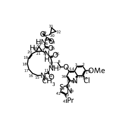 COc1ccc2c(OCC[C@@H]3NC(=O)N(C)CCCCC=C[C@@H]4C[C@@]4(C(=O)NS(=O)(=O)C4CC4)NC3=O)cc(-c3nc(C(C)C)cs3)nc2c1Cl